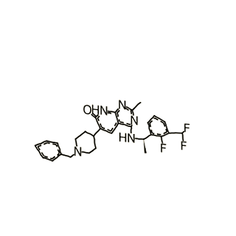 Cc1nc(N[C@H](C)c2cccc(C(F)F)c2F)c2cc(C3CCN(Cc4ccccc4)CC3)c(=O)[nH]c2n1